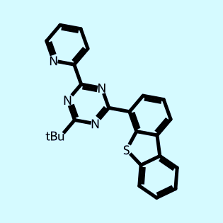 CC(C)(C)c1nc(-c2ccccn2)nc(-c2cccc3c2sc2ccccc23)n1